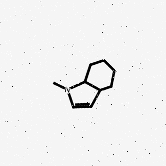 CN1C=CC2CCCCC21